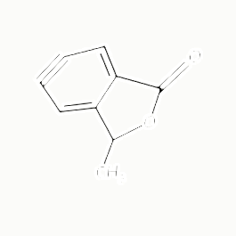 CC1OC(=O)c2cc#ccc21